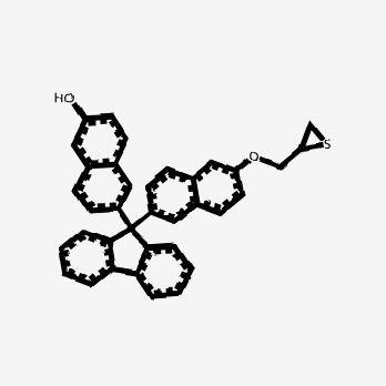 Oc1ccc2cc(C3(c4ccc5cc(OCC6CS6)ccc5c4)c4ccccc4-c4ccccc43)ccc2c1